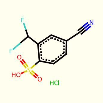 Cl.N#Cc1ccc(S(=O)(=O)O)c(C(F)F)c1